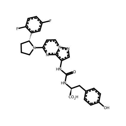 O=C(Nc1cnn2ccc(N3CCC[C@@H]3c3cc(F)ccc3F)nc12)N[C@@H](Cc1ccc(O)cc1)C(=O)O